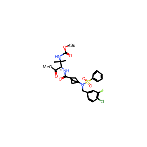 COC(=O)[C@H](NC(=O)C12CC(N(Cc3ccc(Cl)c(F)c3)S(=O)(=O)c3ccccc3)(C1)C2)C(C)(C)NC(=O)OC(C)(C)C